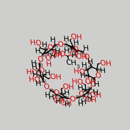 CC(O)O[C@@H]1[C@@H](O)[C@H]2O[C@H]3[C@H](O)[C@@H](O)[C@@H](O[C@H]4[C@H](O)[C@@H](O)[C@@H](O[C@H]5[C@H](O)[C@@H](O)[C@@H](O[C@H]6[C@H](O)[C@@H](O)[C@@H](O[C@H]7[C@H](O)[C@@H](O)[C@@H](O[C@H]1[C@@H](CO)O2)O[C@@H]7CO)O[C@@H]6CO)O[C@@H]5CO)O[C@@H]4CO)O[C@@H]3CO